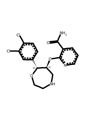 NC(=O)c1cccnc1O[C@H]1CNCCO[C@@H]1c1ccc(Cl)c(Cl)c1